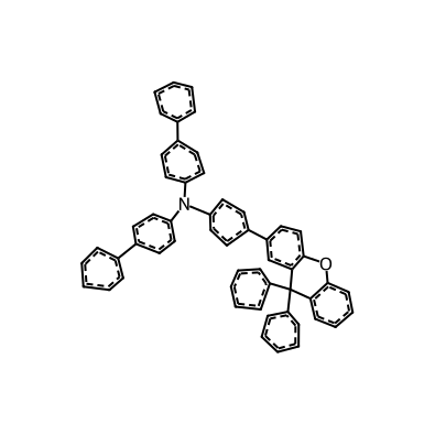 c1ccc(-c2ccc(N(c3ccc(-c4ccccc4)cc3)c3ccc(-c4ccc5c(c4)C(c4ccccc4)(c4ccccc4)c4ccccc4O5)cc3)cc2)cc1